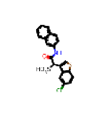 O=C(Nc1ccc2ccccc2c1)C(C1=CSC2C=CC(Cl)=CC12)S(=O)(=O)O